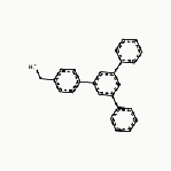 OCc1ccc(-c2cc(-c3ccccc3)cc(-c3ccccc3)c2)cc1